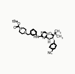 CN(C)C(=O)[C@H](Cc1ccc(C#N)cc1)Nc1ncnc(Nc2cccc(CN3CCN(C(=O)OC(C)(C)C)CC3)c2)n1